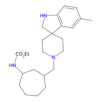 CCOC(=O)NC1CCCCC(CN2CCC3(CC2)CNc2ccc(C)cc23)C1